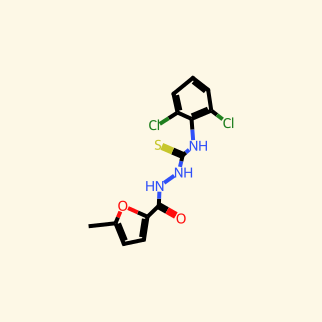 Cc1ccc(C(=O)NNC(=S)Nc2c(Cl)cccc2Cl)o1